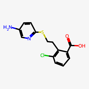 Nc1ccc(SCCc2c(Cl)cccc2C(=O)O)nc1